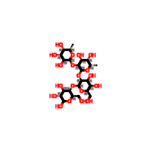 C[C@@H]1O[C@@H](O[C@@H]2[C@H](O[C@H]3[C@H](O[C@H]4[C@H](O)[C@@H](O)C(O)O[C@@H]4CO)O[C@H](CO)[C@H](O)[C@@H]3O)O[C@@H](C)[C@@H](O)[C@H]2O)[C@@H](O)[C@H](O)[C@@H]1O